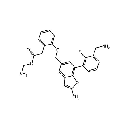 CCOC(=O)Cc1ccccc1OCc1cc(-c2ccnc(CN)c2F)c2oc(C)cc2c1